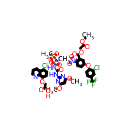 CCOC(=O)COC(=O)c1cc(Oc2ccc(C(F)(F)F)cc2Cl)ccc1[N+](=O)[O-].COc1cc(OC)nc(NC(=O)NS(=O)(=O)N(C)S(C)(=O)=O)n1.O=C(O)COc1ccc(Cl)c2cccnc12